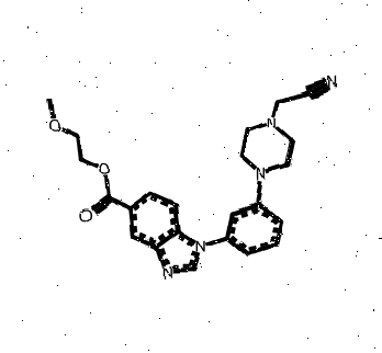 COCCOC(=O)c1ccc2c(c1)ncn2-c1cccc(N2CCN(CC#N)CC2)c1